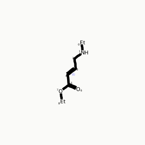 CCNC/C=C/C(=O)OCC